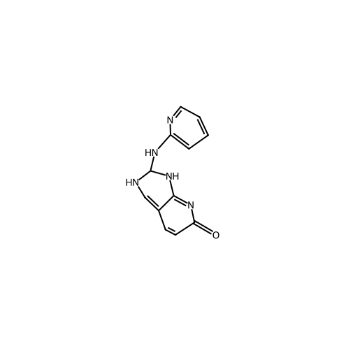 O=C1C=CC2=CNC(Nc3ccccn3)NC2=N1